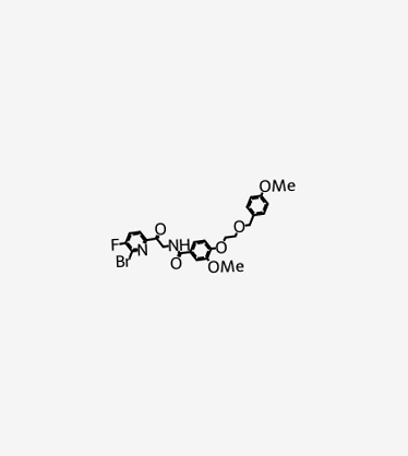 COc1ccc(COCCOc2ccc(C(=O)NCC(=O)c3ccc(F)c(Br)n3)cc2OC)cc1